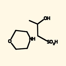 C1COCCN1.CC(O)CS(=O)(=O)O